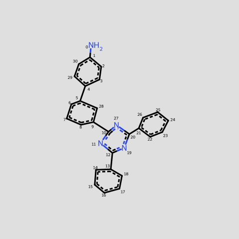 Nc1ccc(-c2cccc(-c3nc(-c4ccccc4)nc(-c4ccccc4)n3)c2)cc1